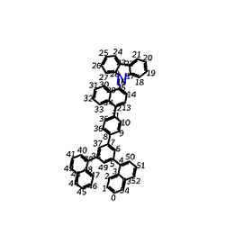 c1ccc2c(-c3cc(-c4ccc(-c5ccc(-n6c7ccccc7c7ccccc76)c6ccccc56)cc4)cc(-c4cccc5ccccc45)c3)cccc2c1